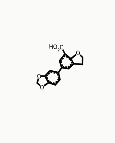 O=C(O)c1cc(-c2ccc3c(c2)OCO3)cc2c1OCC2